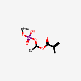 C=C(C)C(=O)OC(CC)OP(=O)(O)OCCCCCC